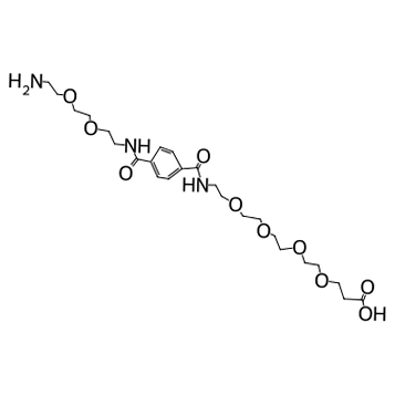 NCCOCCOCCNC(=O)c1ccc(C(=O)NCCOCCOCCOCCOCCC(=O)O)cc1